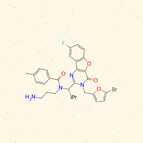 Cc1ccc(C(=O)N(CCCN)C(c2nc3c(oc4ccc(F)cc43)c(=O)n2Cc2ccc(Br)o2)C(C)C)cc1